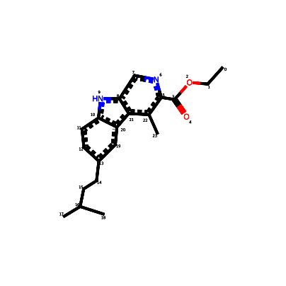 CCOC(=O)c1ncc2[nH]c3ccc(CCC(C)C)cc3c2c1C